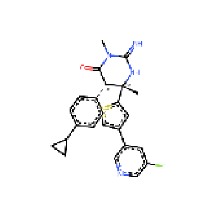 CN1C(=N)N[C@](C)(c2cc(-c3cncc(F)c3)cs2)[C@H](c2ccc(C3CC3)cc2)C1=O